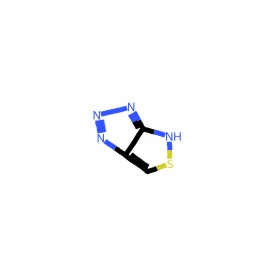 c1s[nH]c2nnnc1-2